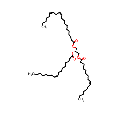 CCCCC/C=C\C/C=C\CCCCCCCCCC(=O)OC[C@@H](COC(=O)CCCCCCC/C=C\CCCCCC)OC(=O)CCCCCCC/C=C\CCCCCCC